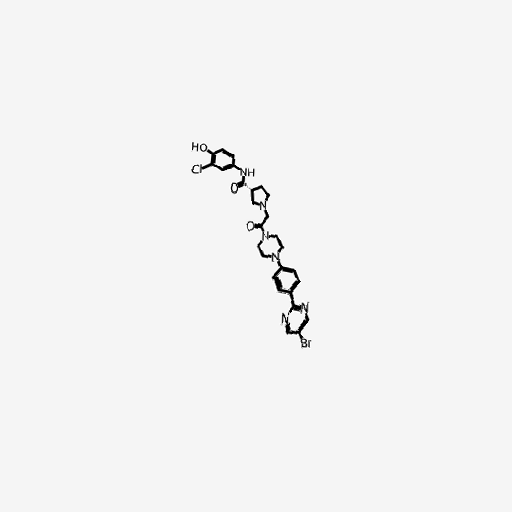 O=C(Nc1ccc(O)c(Cl)c1)[C@@H]1CCN(CC(=O)N2CCN(c3ccc(-c4ncc(Br)cn4)cc3)CC2)C1